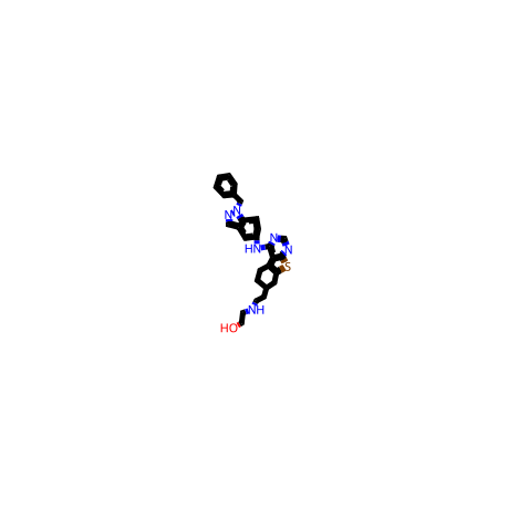 OCCNCCC1CCc2c(sc3ncnc(Nc4ccc5c(cnn5Cc5ccccc5)c4)c23)C1